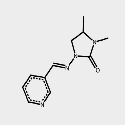 CC1CN(N=Cc2cccnc2)C(=O)N1C